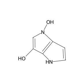 Oc1cn(O)c2cc[nH]c12